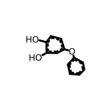 Oc1ccc(Oc2ccccc2)cc1O